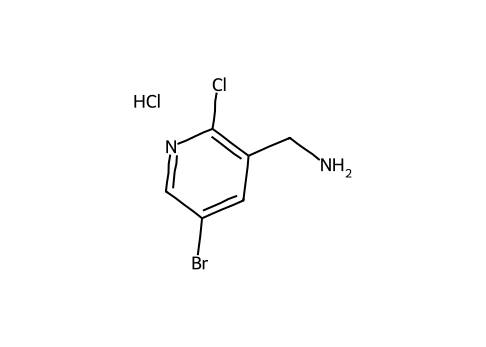 Cl.NCc1cc(Br)cnc1Cl